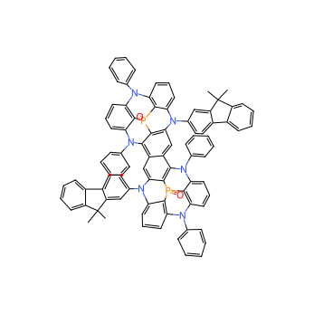 CC1(C)c2ccccc2-c2ccc(N3c4cccc5c4P4(=O)c6c(cccc6N(c6ccccc6)c6c4c3cc3c4c7c(cc63)N(c3ccc6c(c3)C(C)(C)c3ccccc3-6)c3cccc6c3P7(=O)c3c(cccc3N4c3ccccc3)N6c3ccccc3)N5c3ccccc3)cc21